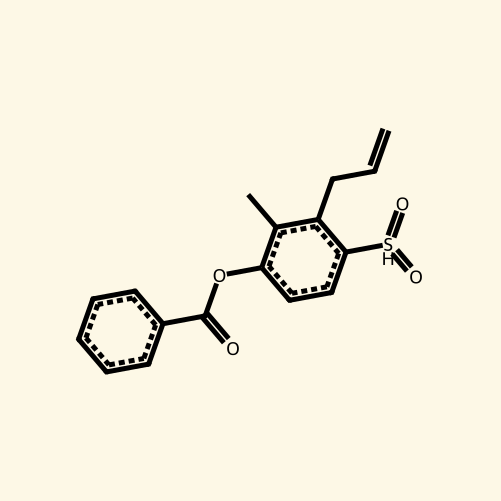 C=CCc1c([SH](=O)=O)ccc(OC(=O)c2ccccc2)c1C